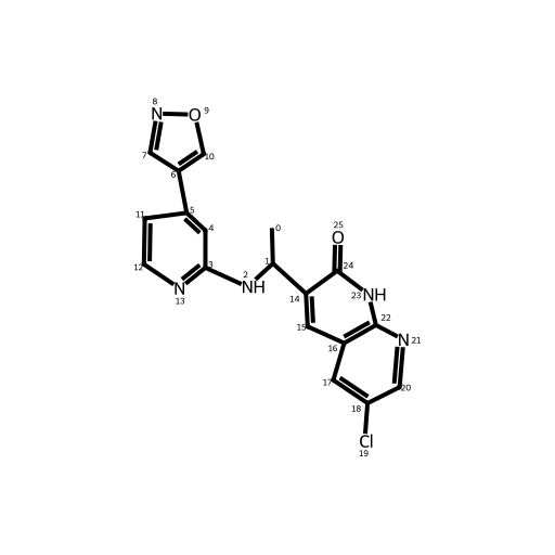 CC(Nc1cc(-c2cnoc2)ccn1)c1cc2cc(Cl)cnc2[nH]c1=O